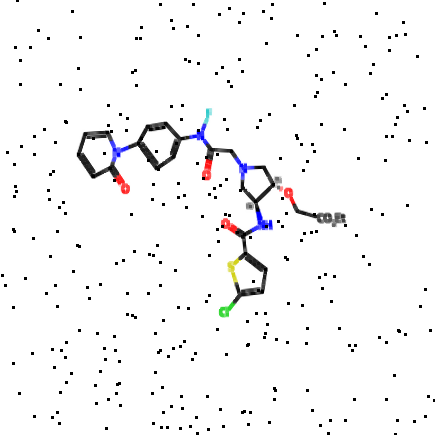 CCOC(=O)CO[C@H]1CN(CC(=O)N(F)c2ccc(-n3ccccc3=O)cc2)C[C@@H]1NC(=O)c1ccc(Cl)s1